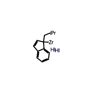 CC(C)C[C]1([Zr])C=Cc2ccccc21.I.I